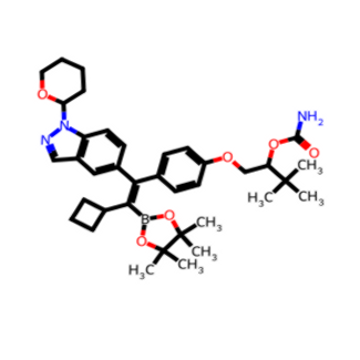 CC(C)(C)C(COc1ccc(C(=C(B2OC(C)(C)C(C)(C)O2)C2CCC2)c2ccc3c(cnn3C3CCCCO3)c2)cc1)OC(N)=O